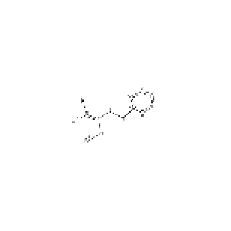 FC(F)=C(CBr)CCc1ccccc1